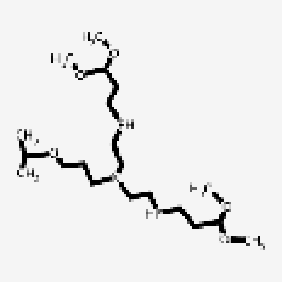 COC(CCPCCN(CCCOC(C)C)CCPCCC(OC)OC)OC